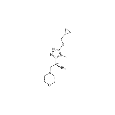 Cn1c(SCC2CC2)nnc1[C@@H](N)CN1CCOCC1